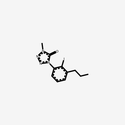 CCCc1cccc(-n2nnn(C)c2=O)c1I